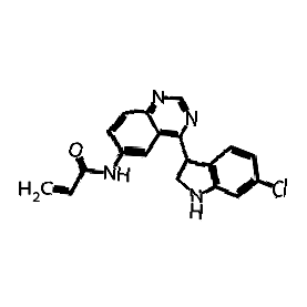 C=CC(=O)Nc1ccc2ncnc(C3CNc4cc(Cl)ccc43)c2c1